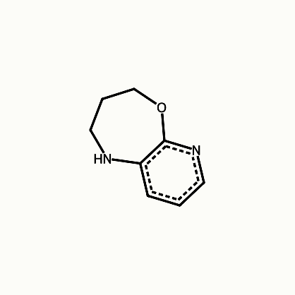 c1cnc2c(c1)NCCCO2